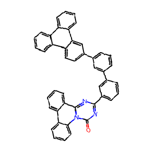 O=c1nc(-c2cccc(-c3cccc(-c4ccc5c6ccccc6c6ccccc6c5c4)c3)c2)nc2c3ccccc3c3ccccc3n12